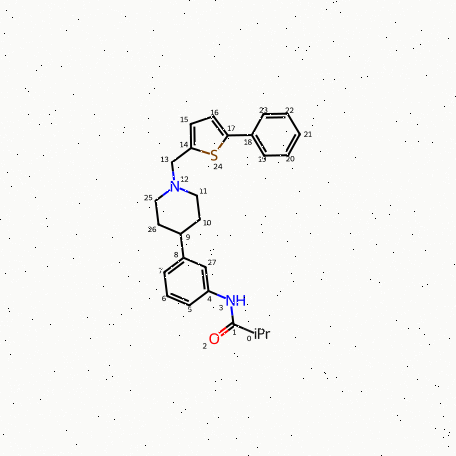 CC(C)C(=O)Nc1cccc(C2CCN(Cc3ccc(-c4ccccc4)s3)CC2)c1